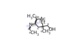 C/C=N\C(CC(C)(CC)CO)=C(/C)C(C)=O